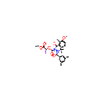 CCOC(=O)C(I)OC(=O)N(C(=O)c1cccc(OC)c1C)N(C(=O)c1cc(C)cc(C)c1)C(C)(C)C